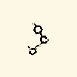 CN1CCC[C@@H]1COc1cncc(-c2ccc(Cl)cc2)c1